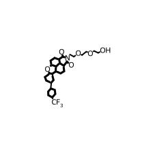 O=c1c2ccc3oc4ccc(-c5ccc(C(F)(F)F)cc5)cc4c4ccc(c(=O)n1CCOCCOCCO)c2c34